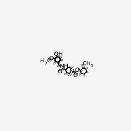 CC[C@@H]1CCCC[C@@H]1OC(=O)N1CCC(C(=O)NCc2ccc(O)c(OC)c2)CC1